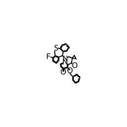 O=C1c2c(OCc3ccccc3)c(=O)ccn2N(C2c3ccccc3SCc3c(F)cccc32)CC12CC2